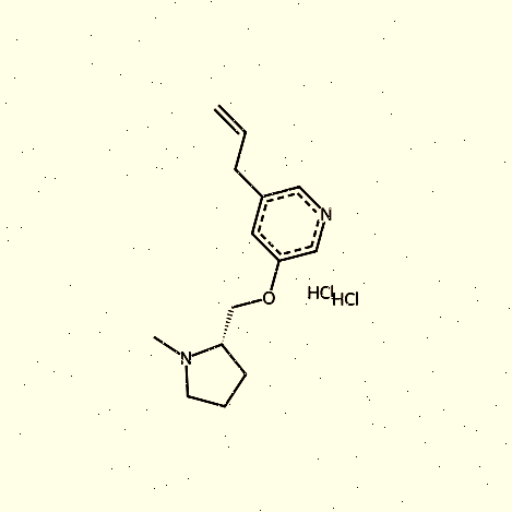 C=CCc1cncc(OC[C@@H]2CCCN2C)c1.Cl.Cl